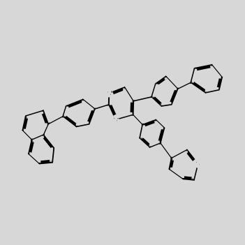 c1ccc(-c2ccc(-c3cnc(-c4ccc(-c5cccc6ccccc56)cc4)nc3-c3ccc(-c4cccnc4)cc3)cc2)cc1